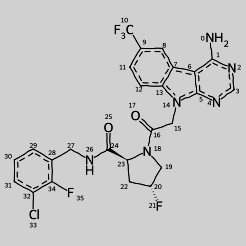 Nc1ncnc2c1c1cc(C(F)(F)F)ccc1n2CC(=O)N1C[C@H](F)C[C@H]1C(=O)NCc1cccc(Cl)c1F